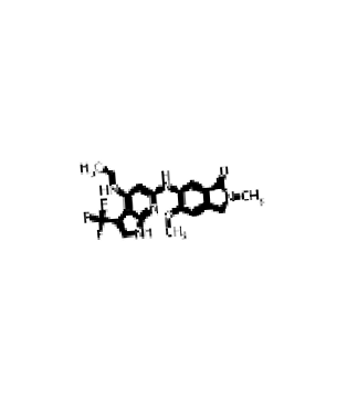 CCNc1cc(Nc2cc3c(cc2OC)CN(C)C3=O)nc2[nH]cc(C(F)(F)F)c12